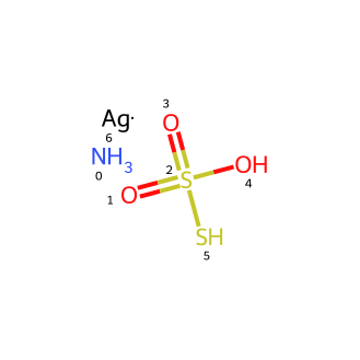 N.O=S(=O)(O)S.[Ag]